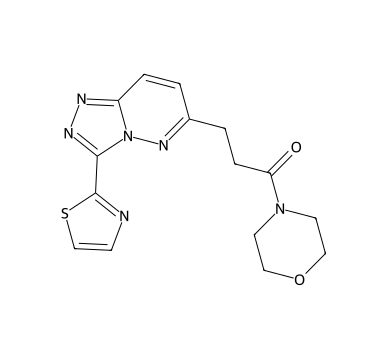 O=C(CCc1ccc2nnc(-c3nccs3)n2n1)N1CCOCC1